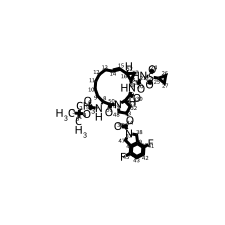 CC(C)(C)OC(=O)N[C@H]1CCCCC/C=C/[C@@H]2C[C@@]2(C(=O)NS(=O)(=O)C2CC2)NC(=O)[C@@H]2C[C@@H](OC(=O)N3Cc4c(F)ccc(F)c4C3)CN2C1=O